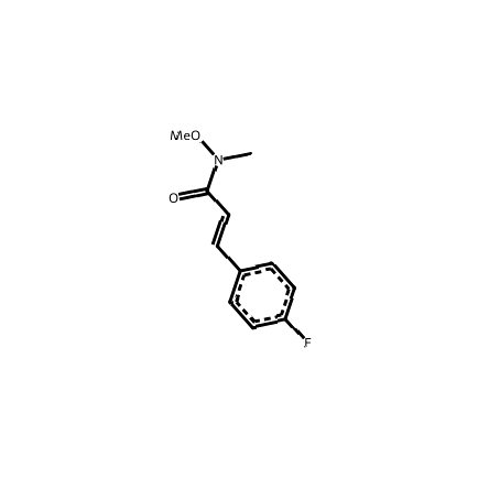 CON(C)C(=O)/C=C/c1ccc(F)cc1